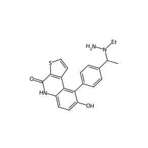 CCN(N)C(C)c1ccc(-c2c(O)ccc3[nH]c(=O)c4sccc4c23)cc1